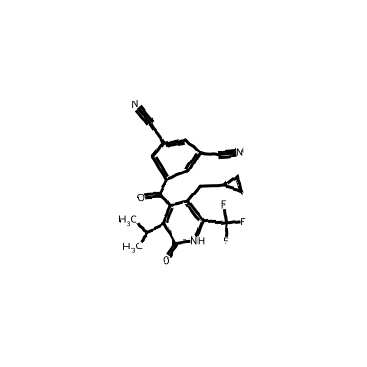 CC(C)c1c(C(=O)c2cc(C#N)cc(C#N)c2)c(CC2CC2)c(C(F)(F)F)[nH]c1=O